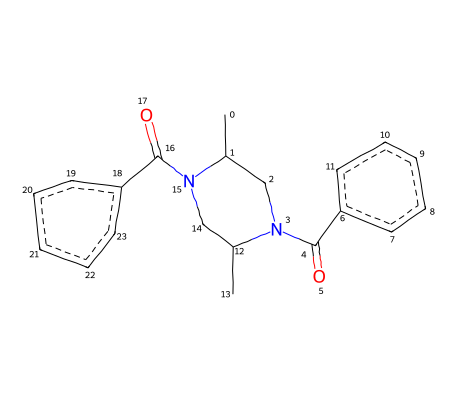 CC1CN(C(=O)c2ccccc2)C(C)CN1C(=O)c1ccccc1